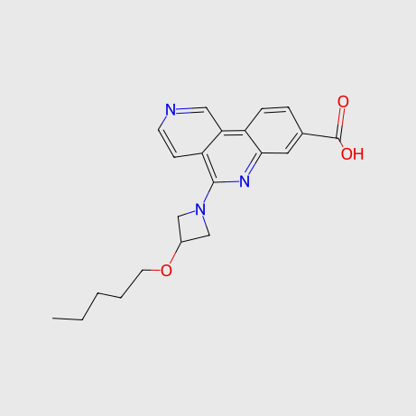 CCCCCOC1CN(c2nc3cc(C(=O)O)ccc3c3cnccc23)C1